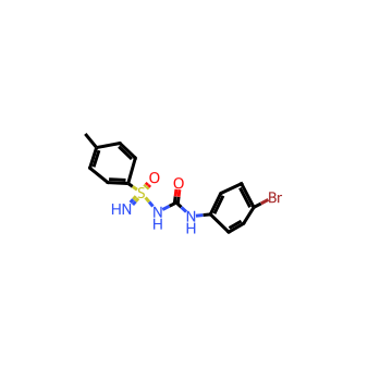 Cc1ccc(S(=N)(=O)NC(=O)Nc2ccc(Br)cc2)cc1